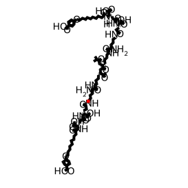 CC(=O)[C@H](CCCCNC(=O)[C@@H](N)CCCCNC(=O)CC[C@H](NC(=O)CC[C@H](NC(=O)CCCCCCCCCOc1ccc(C(=O)O)cc1)C(=O)O)C(=O)O)CC(=O)[C@H](CCCCNC(=O)[C@@H](N)CCCCNC(=O)CC[C@H](NC(=O)CC[C@H](NC(=O)CCCCCCCCCOc1ccc(C(=O)O)cc1)C(=O)O)C(=O)O)CC(=O)C(C)C